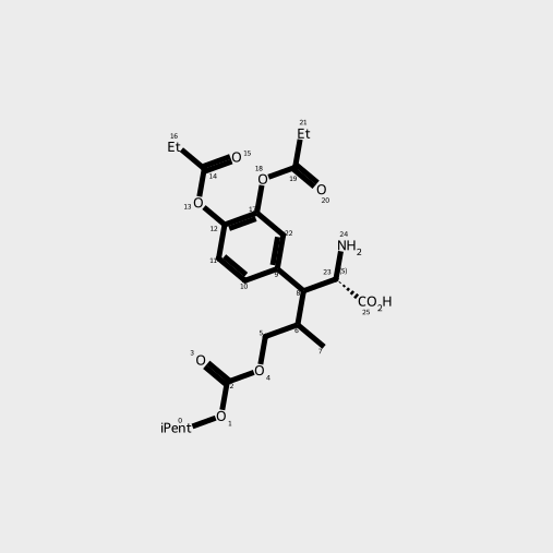 CCCC(C)OC(=O)OCC(C)C(c1ccc(OC(=O)CC)c(OC(=O)CC)c1)[C@H](N)C(=O)O